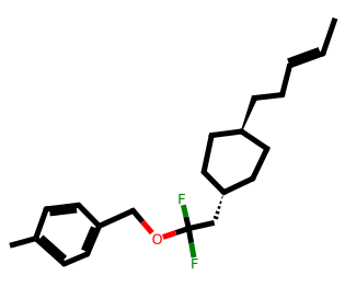 C/C=C/CC[C@H]1CC[C@H](CC(F)(F)OCc2ccc(C)cc2)CC1